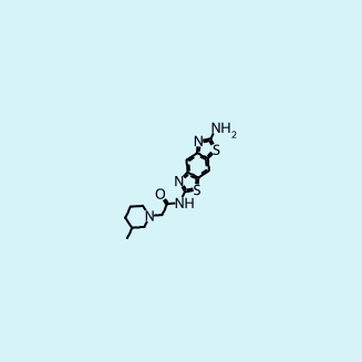 CC1CCCN(CC(=O)Nc2nc3cc4nc(N)sc4cc3s2)C1